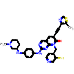 Cc1scnc1C#Cc1cc2cnc(Nc3ccc(NC4CCCN(C)C4)cc3)nc2n(Cc2ccncc2S)c1=O